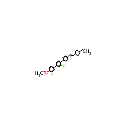 C=CC1CCC(/C=C/c2ccc(-c3ccc(-c4ccc(OCC)c(F)c4)cc3F)cc2)CC1